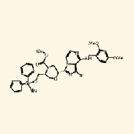 COc1ccc(CNc2nccn3c([C@H]4CN(C(=O)OC(C)(C)C)[C@H](CO[Si](c5ccccc5)(c5ccccc5)C(C)(C)C)CO4)nc(Br)c23)c(OC)c1